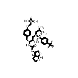 CC(C)CN(C[C@@H](O)[C@H](Cc1ccc(OCP(=O)(O)O)cc1)NC(=O)O[C@H]1CO[C@H]2OCC[C@H]21)S(=O)(=O)c1ccc(C(F)(F)F)cc1